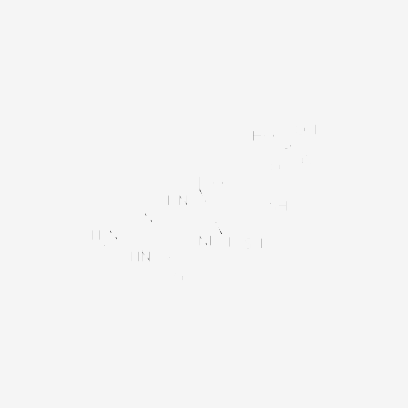 Nc1nc2c(c(=O)[nH]1)N[C@H]1C(S)=C(S)[C@@H](COP(=O)(O)O)O[C@H]1N2